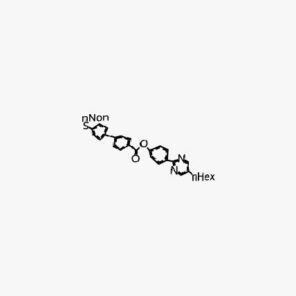 CCCCCCCCCSc1ccc(-c2ccc(C(=O)Oc3ccc(-c4ncc(CCCCCC)cn4)cc3)cc2)cc1